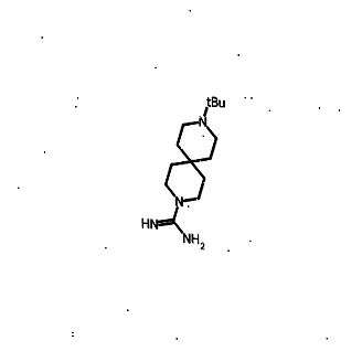 CC(C)(C)N1CCC2(CCN(C(=N)N)CC2)CC1